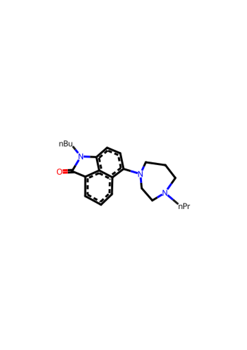 CCCCN1C(=O)c2cccc3c(N4CCCN(CCC)CC4)ccc1c23